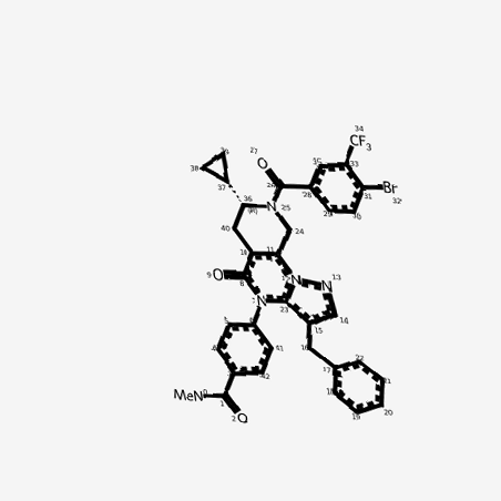 CNC(=O)c1ccc(-n2c(=O)c3c(n4ncc(Cc5ccccc5)c24)CN(C(=O)c2ccc(Br)c(C(F)(F)F)c2)[C@@H](C2CC2)C3)cc1